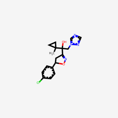 CC1(C(O)(Cn2cncn2)C2=NOC(c3ccc(Cl)cc3)C2)CC1